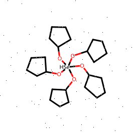 C1CCC(O[SeH](OC2CCCC2)(OC2CCCC2)(OC2CCCC2)OC2CCCC2)C1